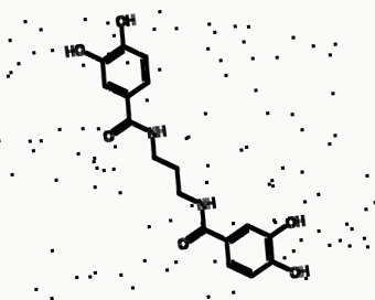 O=C(NCCCNC(=O)c1ccc(O)c(O)c1)c1ccc(O)c(O)c1